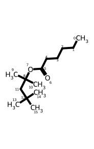 CCCCCC(=O)OC(C)(C)CC(C)(C)C